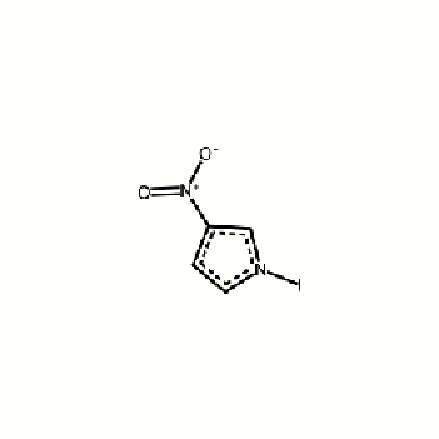 O=[N+]([O-])c1ccn(I)c1